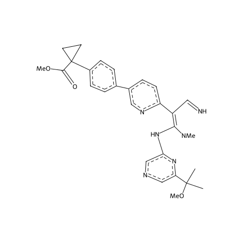 CN/C(Nc1cncc(C(C)(C)OC)n1)=C(\C=N)c1ccc(-c2ccc(C3(C(=O)OC)CC3)cc2)cn1